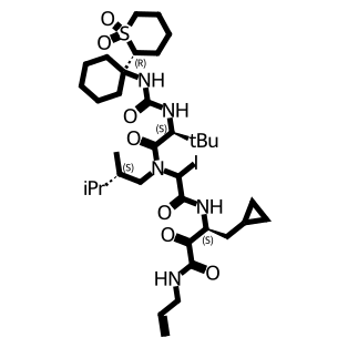 C=CCNC(=O)C(=O)[C@H](CC1CC1)NC(=O)C(I)N(C[C@@H](C)C(C)C)C(=O)[C@@H](NC(=O)NC1([C@H]2CCCCS2(=O)=O)CCCCC1)C(C)(C)C